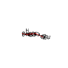 C=CC(=O)OCCc1ccc(NNc2ccc(OC(=O)c3ccc(OC(=O)c4ccc(OCCCCCCOC(=O)C(C)CC)cc4)cc3)c(C)c2)cc1